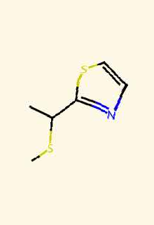 CSC(C)c1nccs1